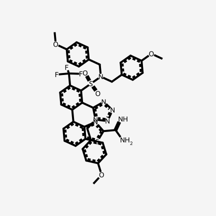 COc1ccc(CN(Cc2ccc(OC)cc2)S(=O)(=O)c2c(C(F)(F)F)ccc(-c3cccc4sc(C(=N)N)nc34)c2-c2nnnn2Cc2ccc(OC)cc2)cc1